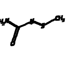 CS[N]C(N)=O